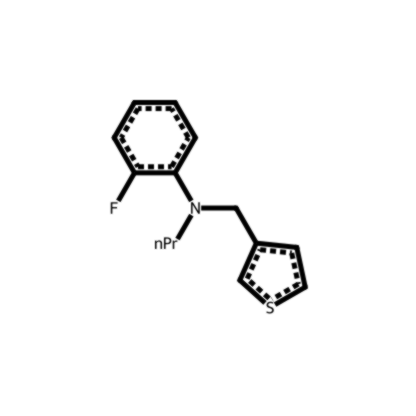 CCCN(Cc1ccsc1)c1ccccc1F